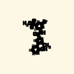 Cc1sc(C(=O)Nc2cc(Br)cc(S(C)(=O)=O)c2)cc1-c1ccccc1O